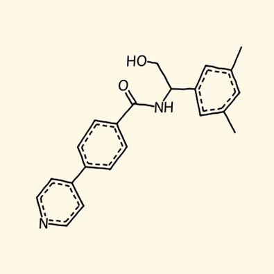 Cc1cc(C)cc(C(CO)NC(=O)c2ccc(-c3ccncc3)cc2)c1